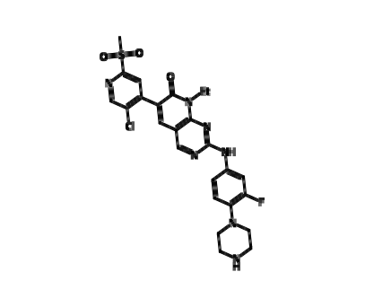 CCn1c(=O)c(-c2cc(S(C)(=O)=O)ncc2Cl)cc2cnc(Nc3ccc(N4CCNCC4)c(F)c3)nc21